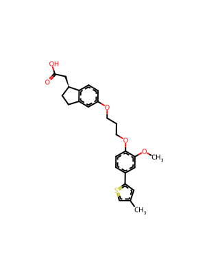 COc1cc(-c2cc(C)cs2)ccc1OCCCOc1ccc2c(c1)CC[C@H]2CC(=O)O